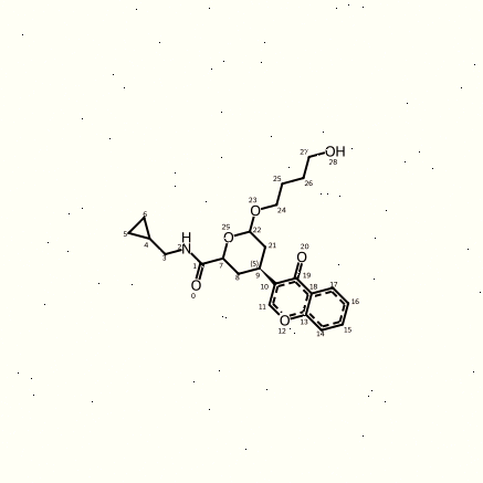 O=C(NCC1CC1)C1C[C@H](c2coc3ccccc3c2=O)CC(OCCCCO)O1